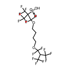 O=S(=O)(O)C(C(F)(F)F)(C(F)(F)F)C(F)(F)OCCCCOC(F)(F)C(C(F)(F)F)C(F)(F)F